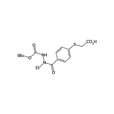 CCN(NC(=O)OC(C)(C)C)C(=O)c1ccc(SCC(=O)O)cc1